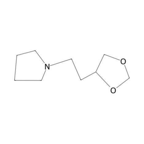 C1CCN(CCC2COCO2)C1